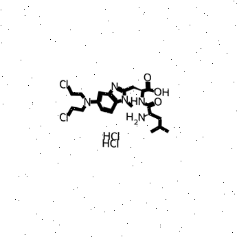 CC(C)C[C@H](N)C(=O)N[C@@H](Cc1nc2cc(N(CCCl)CCCl)ccc2n1C)C(=O)O.Cl.Cl